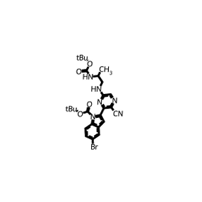 CC(CNc1cnc(C#N)c(-c2cc3cc(Br)ccc3n2C(=O)OC(C)(C)C)n1)NC(=O)OC(C)(C)C